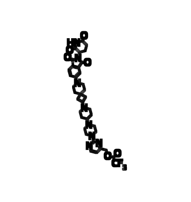 O=C1CCC(N2C(=O)c3ccc(N4CCC5(CC4)CC(N4CCC(N6CCN(c7nccc(COC(=O)C(F)(F)F)n7)CC6)CC4)C5)cc3C2=O)C(=O)N1